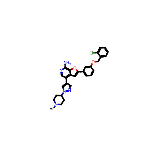 CC(=O)N1CCC(n2cc(-c3cnc(N)c4oc(-c5cccc(OCc6ccccc6Cl)c5)cc34)cn2)CC1